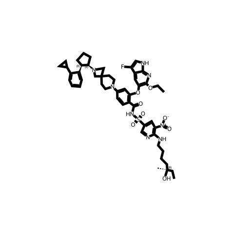 CCOc1nc2[nH]cc(F)c2cc1Oc1cc(N2CCC3(CC2)CN([C@@H]2CCC[C@@H]2c2ccccc2C2CC2)C3)ccc1C(=O)NS(=O)(=O)c1cnc(NCCCC[C@](C)(O)CC)c([N+](=O)[O-])c1